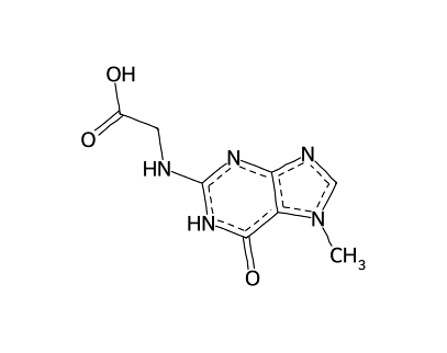 Cn1cnc2nc(NCC(=O)O)[nH]c(=O)c21